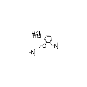 CN(C)CCCOc1ccccc1CN(C)C.Cl.Cl